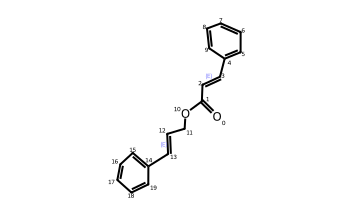 O=C(/C=C/c1ccccc1)OC/C=C/c1ccccc1